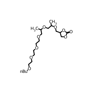 CCCCOCCOCCOCCOCC(C)OCC(C)OCC1COC(=O)O1